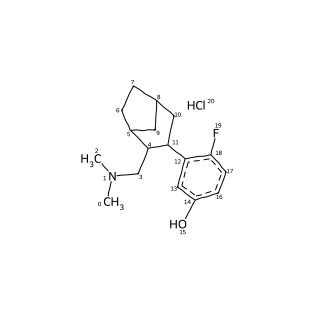 CN(C)CC1C2CCC(C2)CC1c1cc(O)ccc1F.Cl